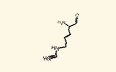 N=CNCCCC(N)C=O